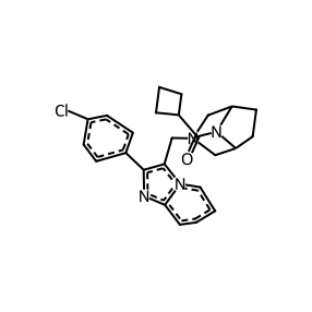 O=C(C1CCC1)N1C2CCC1CN(Cc1c(-c3ccc(Cl)cc3)nc3ccccn13)C2